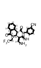 N#Cc1cccc(NC(=O)[C@H]2c3ccccc3C(=O)N(CC(F)(F)F)[C@@H]2/C(C=N)=C/N)c1